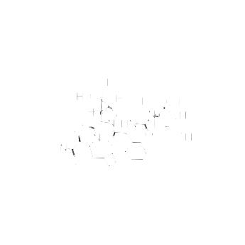 COC[C@@H](NC(=O)N[C@H](C(=O)N1C[C@H]2[C@@H]([C@H]1C(=O)NC(CC1CCC1)C(=O)C(N)=O)C2(C)C)C1CCCCC1)C(C)(C)C